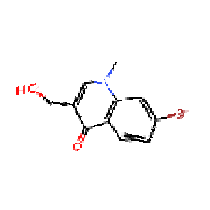 Cn1cc(CO)c(=O)c2ccc(Br)cc21